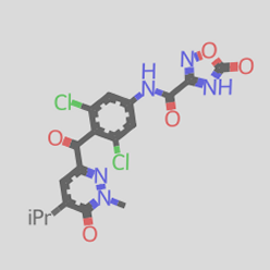 CC(C)c1cc(C(=O)c2c(Cl)cc(NC(=O)c3noc(=O)[nH]3)cc2Cl)nn(C)c1=O